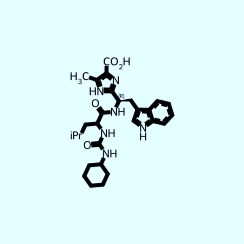 Cc1[nH]c([C@@H](Cc2c[nH]c3ccccc23)NC(=O)C(CC(C)C)NC(=O)NC2CCCCC2)nc1C(=O)O